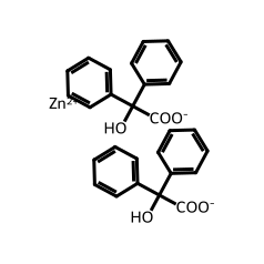 O=C([O-])C(O)(c1ccccc1)c1ccccc1.O=C([O-])C(O)(c1ccccc1)c1ccccc1.[Zn+2]